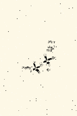 O=P([O-])([O-])[O-].O=P([O-])([O-])[O-].[Mg+2].[Mg+2].[Mg+2].[Mg+2].[Mn].[O-2]